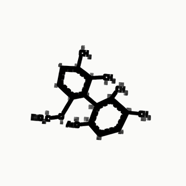 CCOC(=O)Oc1ccc(C)c(C)c1-c1c(OC(C)=O)ccc(C)c1C